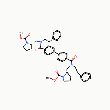 CC(C)(C)OC(=O)N1CCC[C@H]1CN(CCc1ccccc1)C(=O)c1ccc(-c2ccc(C(=O)N(CCc3ccccc3)C[C@@H]3CCCN3C(=O)OC(C)(C)C)cc2)cc1